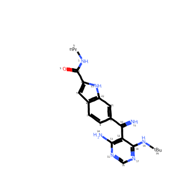 CCCNC(=O)c1cc2ccc(C(=N)c3c(N)ncnc3NC(C)(C)C)cc2[nH]1